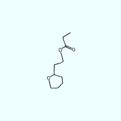 CCC(=O)OCCC1CCCCO1